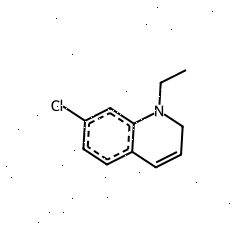 CCN1CC=Cc2ccc(Cl)cc21